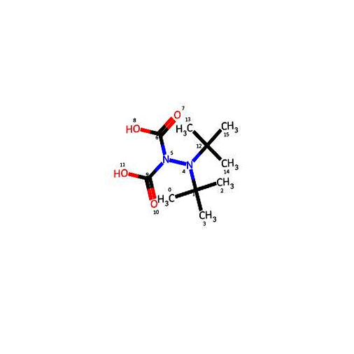 CC(C)(C)N(N(C(=O)O)C(=O)O)C(C)(C)C